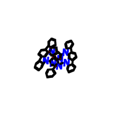 c1ccc(-c2nc(-c3ccccc3)nc(-n3c4ccccc4c4ccc5c6ccccc6n(-c6cccc(-n7c8ccccc8c8ccc9c%10ccccc%10n(-c%10ccccc%10)c9c87)c6)c5c43)n2)cc1